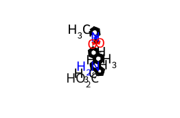 CC1CCCN(C(=O)O[C@H]2CC[C@@]3(C)[C@H](CC[C@@H]4[C@@H]3CC[C@]3(C)[C@@H](C(=O)O)CC[C@]43N)C2)C1